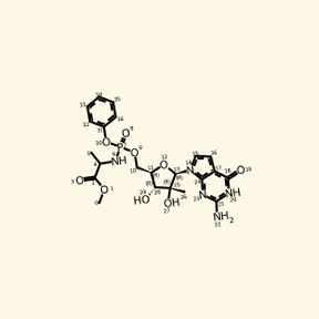 COC(=O)C(C)NP(=O)(OC[C@H]1O[C@@H](n2ccc3c(=O)[nH]c(N)nc32)[C@](C)(O)[C@@H]1O)Oc1ccccc1